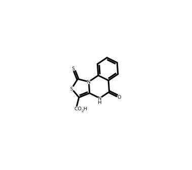 O=C(O)c1sc(=S)n2c1[nH]c(=O)c1ccccc12